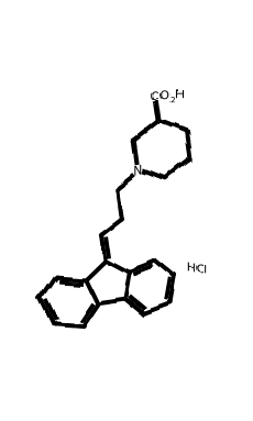 Cl.O=C(O)C1CCCN(CCC=C2c3ccccc3-c3ccccc32)C1